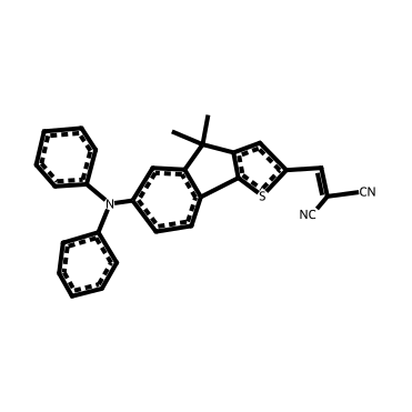 CC1(C)c2cc(N(c3ccccc3)c3ccccc3)ccc2-c2sc(C=C(C#N)C#N)cc21